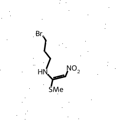 CSC(=C[N+](=O)[O-])NCCCBr